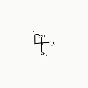 CC1(C)[CH]ON1